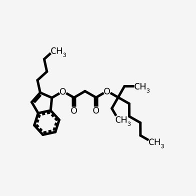 CCCCCC(CC)(CC)OC(=O)CC(=O)OC1C(CCCC)=Cc2ccccc21